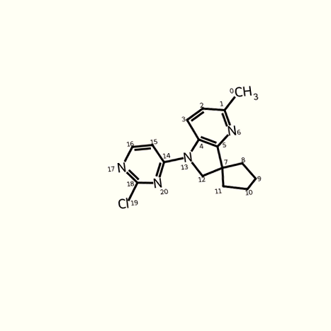 Cc1ccc2c(n1)C1(CCCC1)CN2c1ccnc(Cl)n1